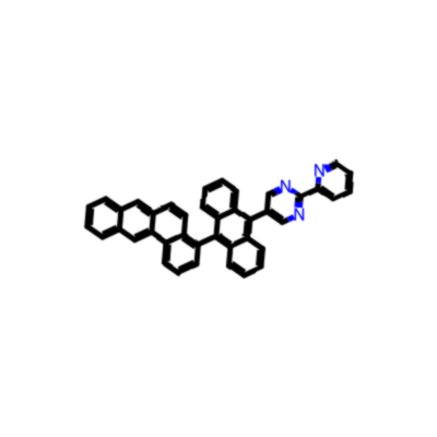 c1ccc(-c2ncc(-c3c4ccccc4c(-c4cccc5c4ccc4cc6ccccc6cc45)c4ccccc34)cn2)nc1